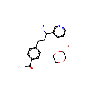 C1COCCO1.CO.COC(=O)c1ccc(CCC(NC=O)c2cccnc2)cc1